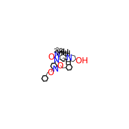 [2H]C1C=C2N(c3ccc(OCc4ccccc4)nc3OCc3ccccc3)C(=O)N(C)C2([2H])C([2H])([2H])C1([2H])N1CCC(O)CC1